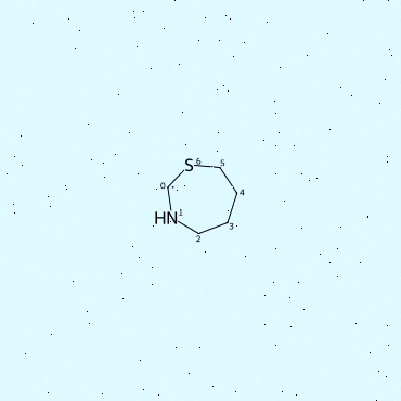 [CH]1NCCCCS1